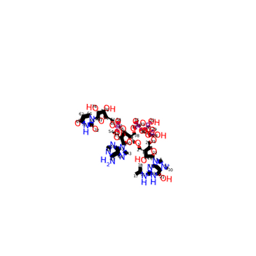 COC[C@H]1[C@@H](O)[C@H](n2c[n+](C)c3c2N=C(NC(C)C)NC3O)O[C@@H]1COP(=O)(O)OP(=O)(O)OP(=O)(O)OC[C@H]1O[C@@H](n2cnc3c(N)ncnc32)[C@H](OC)[C@@H]1OP(=O)(O)OC[C@H]1O[C@@H](n2ccc(=O)[nH]c2=O)[C@H](O)[C@@H]1O